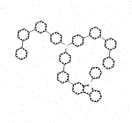 c1ccc(-c2cccc(-c3cccc(-c4ccc(N(c5ccc(-c6cccc(-c7cccc(-c8ccccc8)c7)c6)cc5)c5ccc(-c6cccc(-c7ccc8c9ccccc9n(-c9ccccc9)c8c7)c6)cc5)cc4)c3)c2)cc1